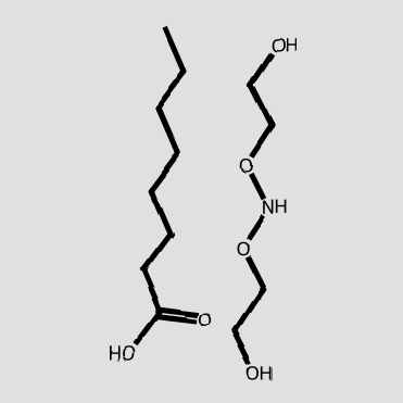 CCCCCCCC(=O)O.OCCONOCCO